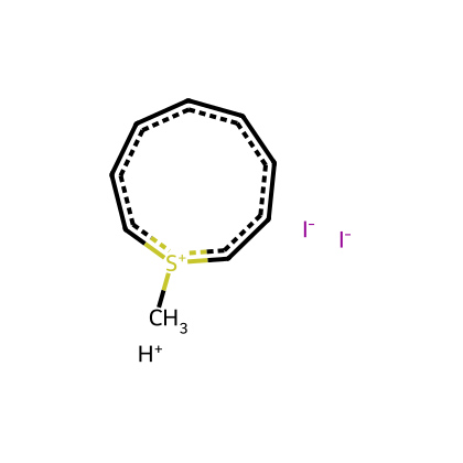 C[s+]1cccccccc1.[H+].[I-].[I-]